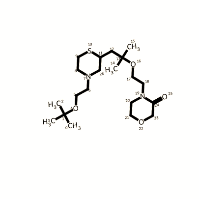 CC(C)(C)OCCN1CCSC(CC(C)(C)OCCN2CCOCC2=O)C1